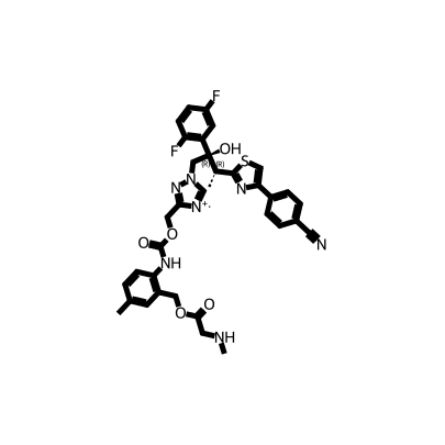 CNCC(=O)OCc1cc(C)ccc1NC(=O)OCC1=NN(C[C@](O)(c2cc(F)ccc2F)[C@@H](C)c2nc(-c3ccc(C#N)cc3)cs2)C=[N+]1